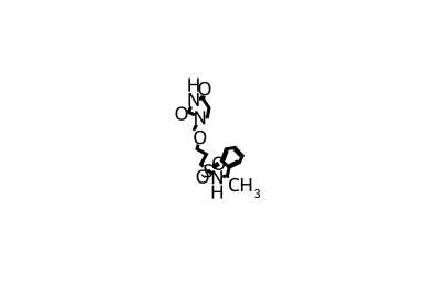 C[C@@H](NS(=O)(=O)CCCOCN1CCC(=O)NC1=O)c1ccccc1